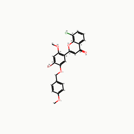 COc1ccc(COc2cc(-c3cc(=O)c4cccc(Cl)c4o3)c(OC)cc2Br)cc1